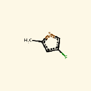 [CH2]c1cc(F)cs1